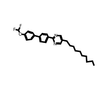 CCCCCCCCCCc1cnc(-c2ccc(-c3ccc(OC(F)F)cc3)cc2)nc1